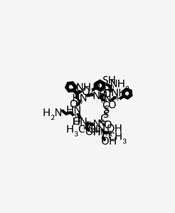 C[C@@H](O)[C@@H]1NC(=O)[C@H](CCCCN)NC(=O)[C@@H](Cc2c[nH]c3ccccc23)NC(=O)[C@H](Cc2ccccc2)NC(=O)[C@@H](NC(=O)[C@@H](Cc2ccccc2)NC(=O)[C@@H](N)CS)CSSC[C@@H](C(=O)N[C@H](CO)[C@@H](C)O)NC1=O